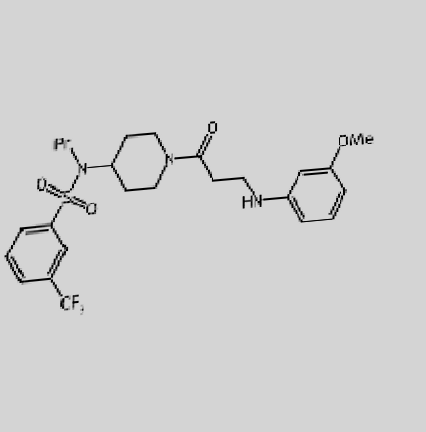 COc1cccc(NCCC(=O)N2CCC(N(C(C)C)S(=O)(=O)c3cccc(C(F)(F)F)c3)CC2)c1